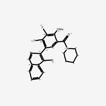 COc1c(C(=O)N2CCCCC2)cc(-c2ccc3ccccc3c2Br)c(F)c1F